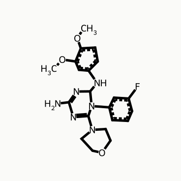 COc1ccc(NC2N=C(N)N=C(N3CCOCC3)N2c2cccc(F)c2)cc1OC